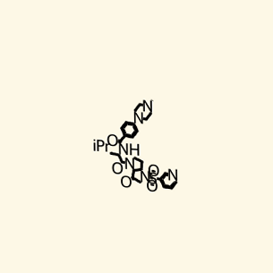 CC(C)CC(NC(=O)c1ccc(N2CCN(C)CC2)cc1)C(=O)N1CCC2C1C(=O)CN2S(=O)(=O)c1cccnc1